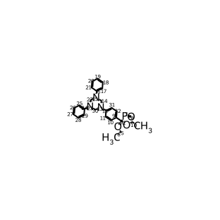 CCOC(OCC)(P=O)c1ccc(N2CN(c3ccccc3)CN(c3ccccc3)C2)cc1